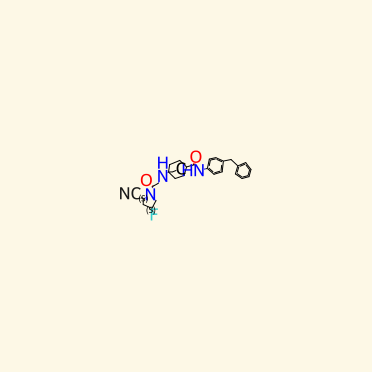 N#C[C@@H]1C[C@H](F)CN1C(=O)CNC12CCC(C(=O)Nc3ccc(Cc4ccccc4)cc3)(CC1)CC2